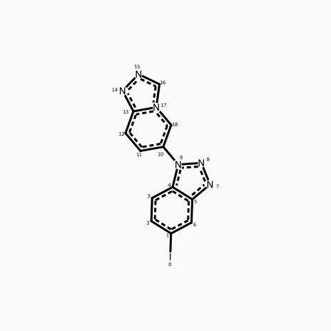 Ic1ccc2c(c1)nnn2-c1ccc2nncn2c1